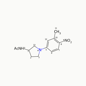 CC(=O)NC1CCN(c2ccc([N+](=O)[O-])c(C)c2)C1